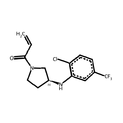 C=CC(=O)N1CC[C@H](Nc2cc(C(F)(F)F)ccc2Cl)C1